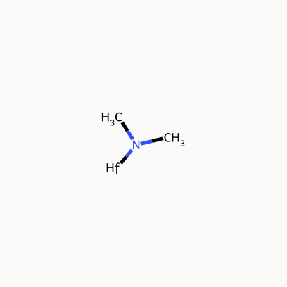 C[N](C)[Hf]